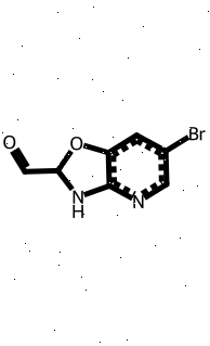 O=CC1Nc2ncc(Br)cc2O1